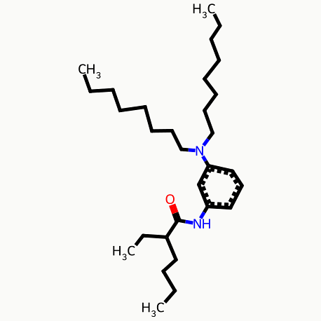 CCCCCCCCN(CCCCCCCC)c1cccc(NC(=O)C(CC)CCCC)c1